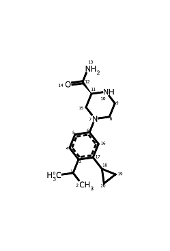 CC(C)c1ccc(N2CCN[C@H](C(N)=O)C2)cc1C1CC1